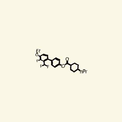 CCCC1CCC(C(=O)Oc2ccc(-c3ccc(OCC)c(F)c3C(F)F)cc2)CC1